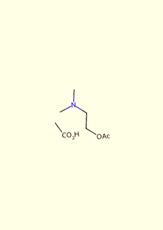 CC(=O)O.CC(=O)OCCN(C)C